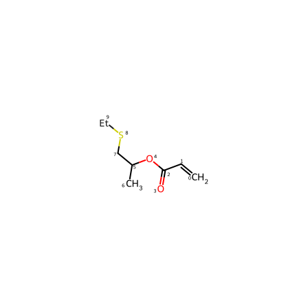 C=CC(=O)OC(C)CSCC